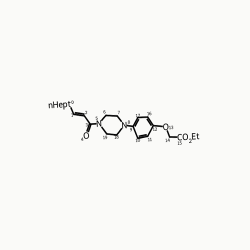 CCCCCCC/C=C/C(=O)N1CCN(c2ccc(OCC(=O)OCC)cc2)CC1